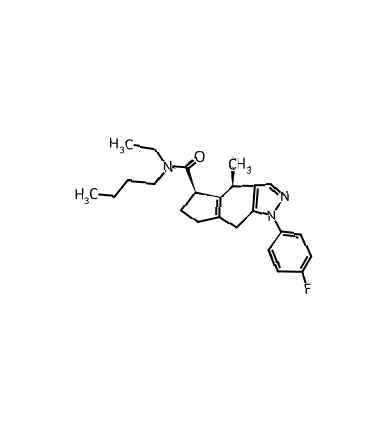 CCCCN(CC)C(=O)[C@@H]1CCC2=C1[C@@H](C)c1cnn(-c3ccc(F)cc3)c1C2